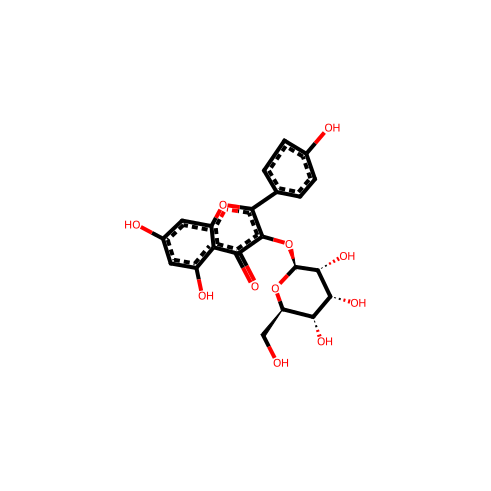 O=c1c(O[C@@H]2O[C@H](CO)[C@@H](O)[C@@H](O)[C@H]2O)c(-c2ccc(O)cc2)oc2cc(O)cc(O)c12